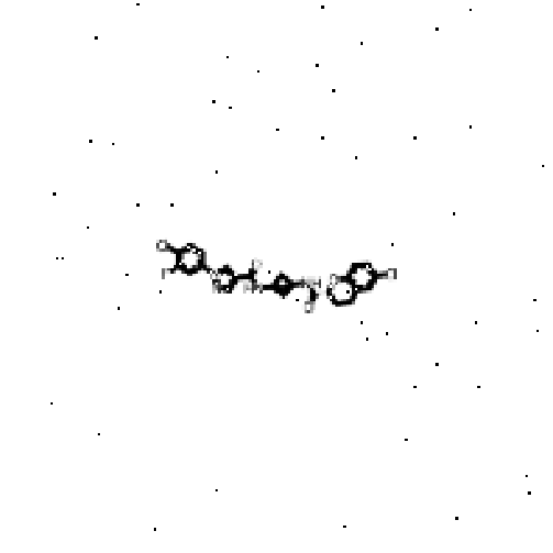 O=C(NC12CC(NC(=O)[C@H]3CCc4cc(Cl)ccc4O3)(C1)C2)c1cnn(-c2ccc(Cl)c(F)c2)c1